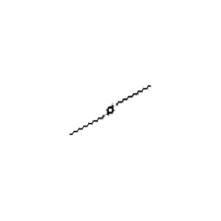 CCCCCCCCCCCCCCCOc1ccc(OCCCCCCCCCCCCCCC)cc1